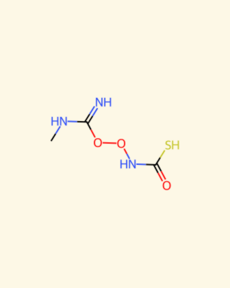 CNC(=N)OONC(=O)S